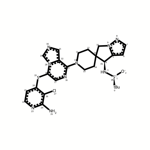 CC(C)(C)[S@+]([O-])N[C@@H]1c2ccnn2CC12CCN(c1ncc(Sc3ccnc(N)c3Cl)n3cncc13)CC2